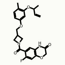 C=CC(C)Oc1cc(OCC2CN(C(=O)c3cc4c(cc3F)OCC(=O)N4)C2)ccc1C